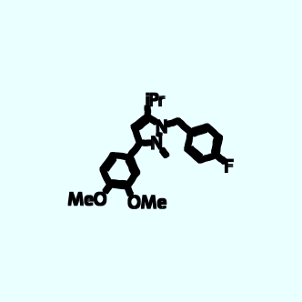 COc1ccc(C2C=C(C(C)C)N(Cc3ccc(F)cc3)N2C)cc1OC